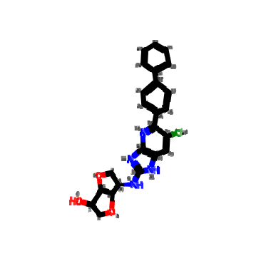 OC1COC2C1OC[C@H]2Nc1nc2nc(-c3ccc(-c4ccccc4)cc3)c(Cl)cc2[nH]1